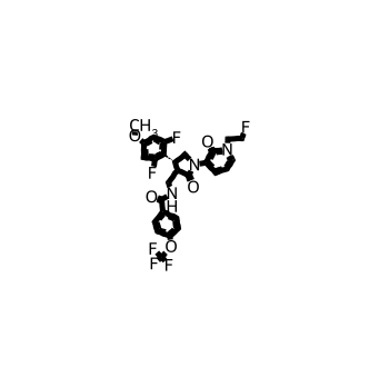 COc1cc(F)c([C@@H]2CN(c3cccn(CCF)c3=O)C(=O)C2CNC(=O)c2ccc(OC(F)(F)F)cc2)c(F)c1